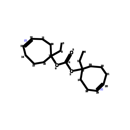 CCC1(OC(=O)OC2(CC)CC/C=C\CCC2)CC/C=C\CCC1